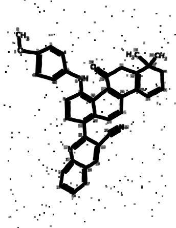 COc1ccc(Nc2ccc(-c3nc4ccccc4cc3C#N)c3ccc4c(c23)C(=O)CC2=C4C=CCC2(C)C)cc1